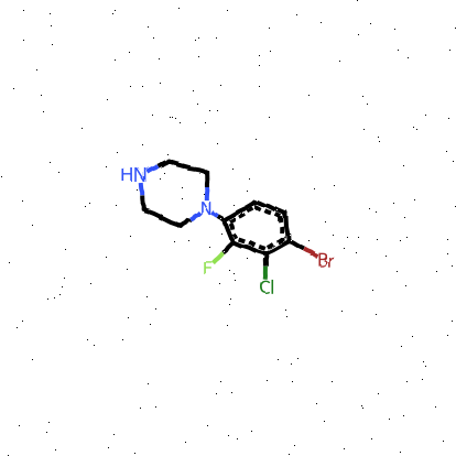 Fc1c(N2CCNCC2)ccc(Br)c1Cl